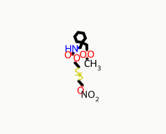 CC1OC(CC2(CNC(=O)OCCSSCCO[N+](=O)[O-])CCCCC2)O1